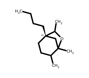 CCCC[C@]12CCC(C)C(C)(C1)OC2C